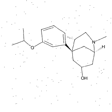 CC(C)Oc1cccc([C@]23CC(O)C[C@@H](C2)N(C)C[C@H]3C)c1